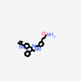 NC(=O)/C=C/c1ccc2nn3cc(-c4ccccc4)c(-c4ccc(C5(N)CCC5)cc4)nc3c2c1